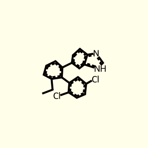 CCc1cccc(-c2ccc3nc[nH]c3c2)c1-c1cc(Cl)ccc1Cl